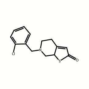 O=C1C=C2CCN(Cc3ccccc3Cl)CC2S1